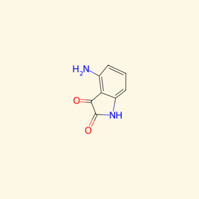 Nc1cccc2c1C(=O)C(=O)N2